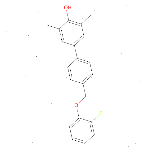 Cc1cc(-c2ccc(COc3ccccc3F)cc2)cc(C)c1O